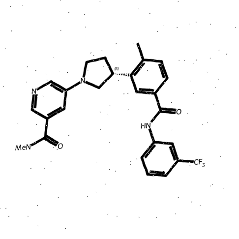 CNC(=O)c1cncc(N2CC[C@H](c3cc(C(=O)Nc4cccc(C(F)(F)F)c4)ccc3C)C2)c1